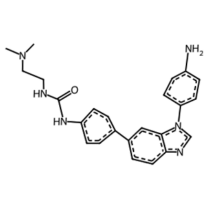 CN(C)CCNC(=O)Nc1ccc(-c2ccc3ncn(-c4ccc(N)cc4)c3c2)cc1